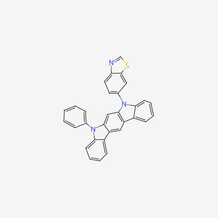 c1ccc(-n2c3ccccc3c3cc4c5ccccc5n(-c5ccc6ncsc6c5)c4cc32)cc1